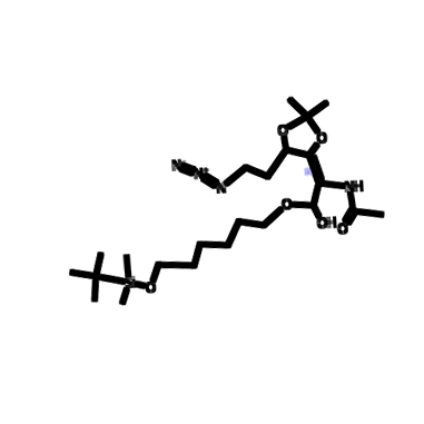 CC(=O)N/C(=C1\OC(C)(C)OC1CCN=[N+]=[N-])C(O)OCCCCCCO[Si](C)(C)C(C)(C)C